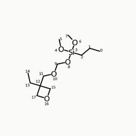 CCC[Si](OC)(OC)OCOCC1(CC)COC1